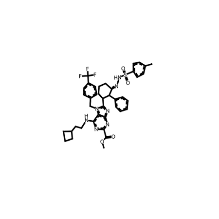 COC(=O)c1nc(NCCC2CCC2)c2c(n1)nc(C1CCCC(=NNS(=O)(=O)c3ccc(C)cc3)C1c1ccccc1)n2Cc1ccc(C(F)(F)F)cc1